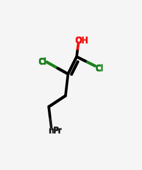 CCCCCC(Cl)=C(O)Cl